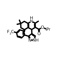 CC1=C(C(=O)OC(C)C)C(c2c[nH]nc2-c2ccc(C(F)(F)F)cc2)C2=C(CC(C)(C)CC2=O)N1